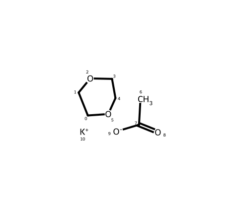 C1COCCO1.CC(=O)[O-].[K+]